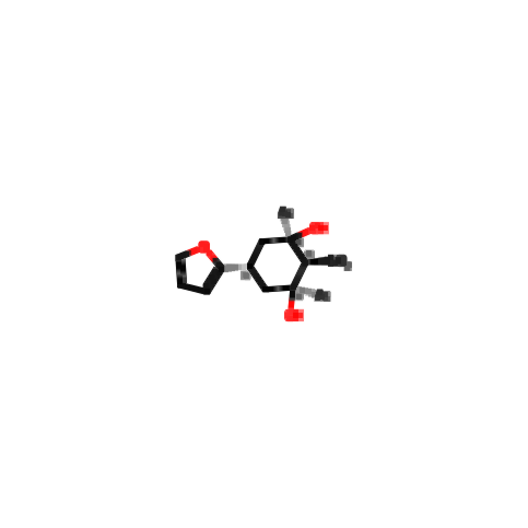 CC(=O)[C@]1(O)C[C@H](c2ccco2)C[C@](O)(C(C)=O)[C@H]1[N+](=O)[O-]